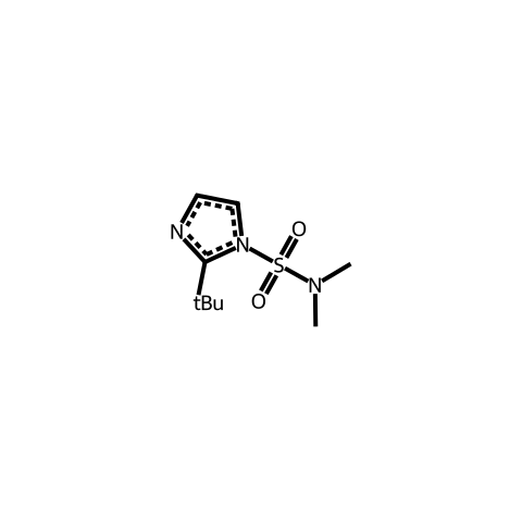 CN(C)S(=O)(=O)n1ccnc1C(C)(C)C